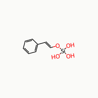 O[Si](O)(O)OC=Cc1ccccc1